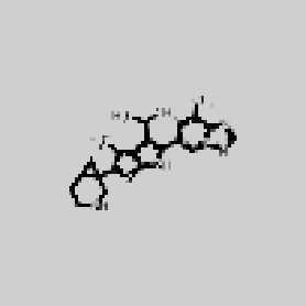 Cc1c(C23CNCCC2C3)sc2[nH]c(-c3cc(C)c4ncnn4c3)c(C(C)C)c12